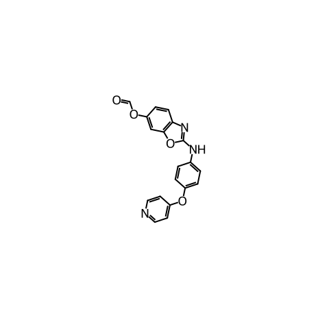 O=COc1ccc2nc(Nc3ccc(Oc4ccncc4)cc3)oc2c1